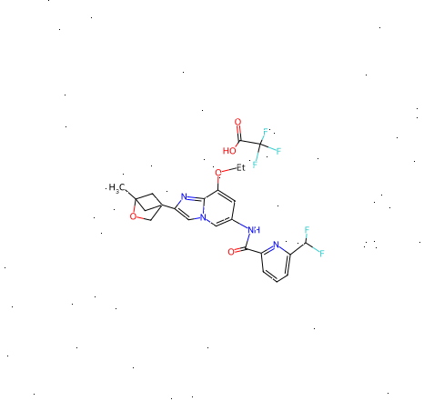 CCOc1cc(NC(=O)c2cccc(C(F)F)n2)cn2cc(C34COC(C)(C3)C4)nc12.O=C(O)C(F)(F)F